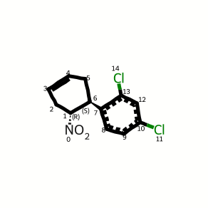 O=[N+]([O-])[C@@H]1CC=CC[C@H]1c1ccc(Cl)cc1Cl